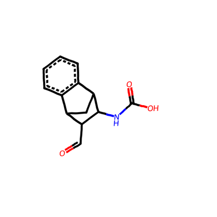 O=CC1C2CC(c3ccccc32)C1NC(=O)O